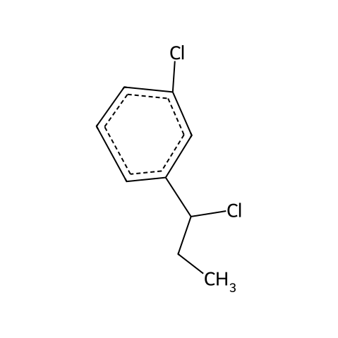 CCC(Cl)c1cccc(Cl)c1